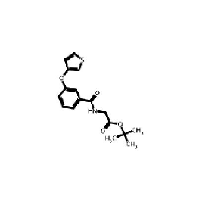 CC(C)(C)OC(=O)CNC(=O)c1cccc(Oc2ccsc2)c1